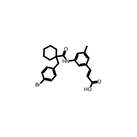 Cc1cc(/C=C/C(=O)O)cc(NC(=O)C2(Cc3ccc(Br)cc3)CCCCC2)c1